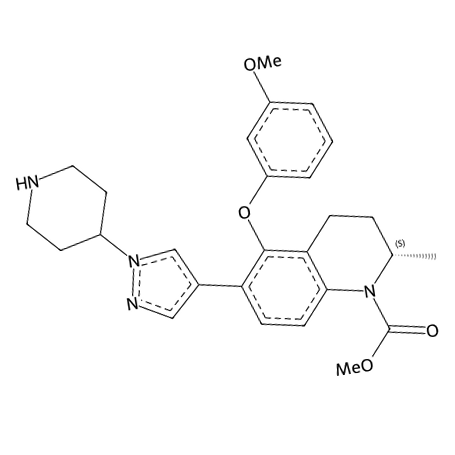 COC(=O)N1c2ccc(-c3cnn(C4CCNCC4)c3)c(Oc3cccc(OC)c3)c2CC[C@@H]1C